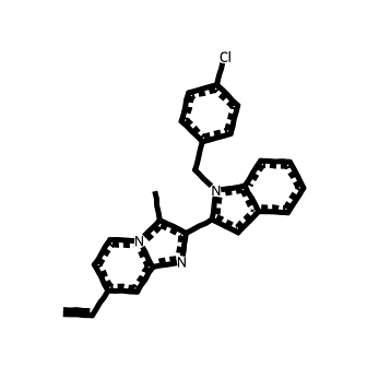 C=Cc1ccn2c(C)c(-c3cc4ccccc4n3Cc3ccc(Cl)cc3)nc2c1